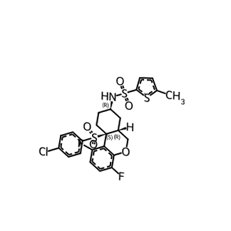 Cc1ccc(S(=O)(=O)N[C@@H]2CC[C@@]3(S(=O)(=O)c4ccc(Cl)cc4)c4c(F)ccc(F)c4OC[C@H]3C2)s1